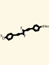 CCCCCCc1ccc(C#C/C(F)=C(\F)C#Cc2ccc(OCC)cc2)cc1